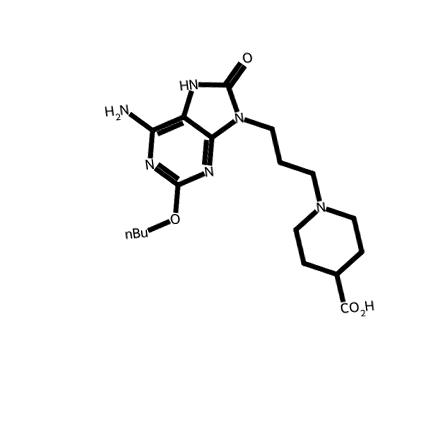 CCCCOc1nc(N)c2[nH]c(=O)n(CCCN3CCC(C(=O)O)CC3)c2n1